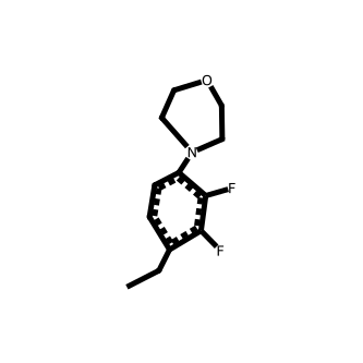 CCc1ccc(N2CCOCC2)c(F)c1F